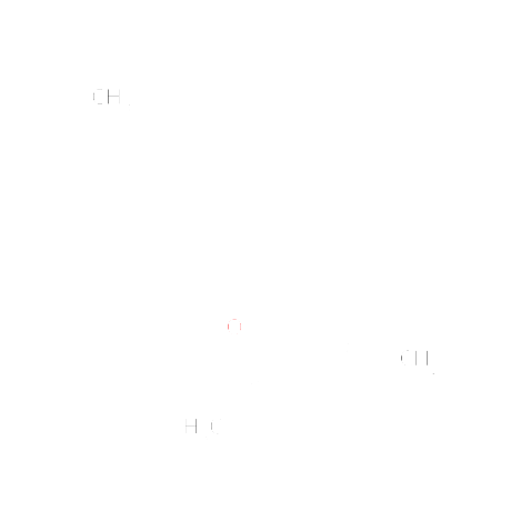 C=C(CCCCCCC)CC(C)=O